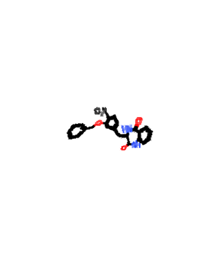 O=C1NC(Cc2ccc([N+](=O)[O-])c(OCc3ccccc3)c2)C(=O)Nc2ccccc21